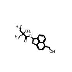 CCC(C)(C)C(=O)OC1Cc2ccc(CO)c3cccc1c23